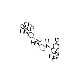 CS(=O)(=O)Nc1ccc(C(=O)N[C@@H]2CCC[C@H](Nc3cc(C(F)(F)F)nc4ccc(Cl)cc34)C2)cc1